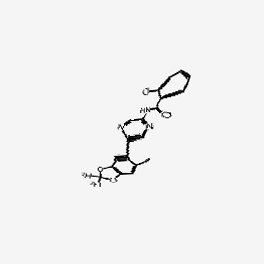 [2H]C1([2H])Oc2cc(C)c(-c3cnc(NC(=O)c4ccccc4Cl)cn3)cc2O1